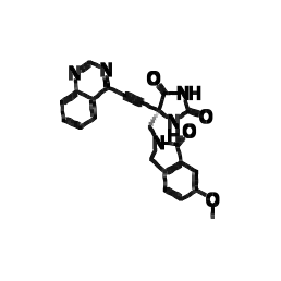 COc1ccc2c(c1)C(=O)N(C[C@@]1(C#Cc3ncnc4ccccc34)NC(=O)NC1=O)C2